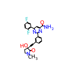 CN1CCC(O)(C#Cc2cccc(-c3nc(C(N)=O)cc(-c4cc(F)ccc4F)n3)c2)C1=O